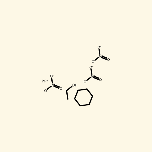 C1CCCCC1.CCO.O=[N+]([O-])[O-].O=[N+]([O-])[O-].O=[N+]([O-])[O-].[Pr+3]